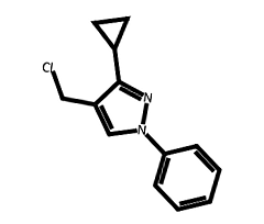 ClCc1cn(-c2ccccc2)nc1C1CC1